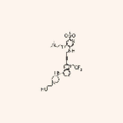 CN(C)CCOc1cc(S(C)(=O)=O)ncc1NCC#Cc1cc2c(NC3CCN(CCO)CC3)cccc2n1CC(F)(F)F